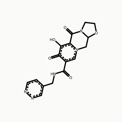 O=C(NCc1ccnnc1)c1cn2c(c(O)c1=O)C(=O)N1CCOC1C2